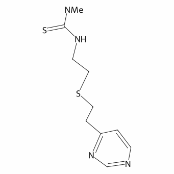 CNC(=S)NCCSCCc1ccncn1